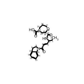 CCC(C=CC(=O)N1CCc2ccccc21)NC(=O)[C@@H]1CN(C(=O)O)CCCO1